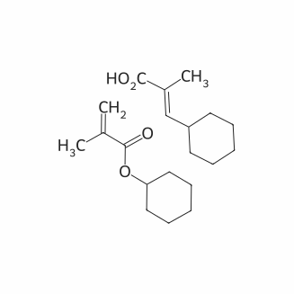 C=C(C)C(=O)OC1CCCCC1.CC(=CC1CCCCC1)C(=O)O